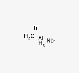 C.[AlH3].[Nb].[Ti]